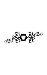 CCCCO[Si](CC)(CC)c1ccc([Si](CC)(CC)OCCCC)cc1